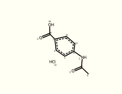 CC(=O)Nc1ccc(C(=O)O)cc1.Cl